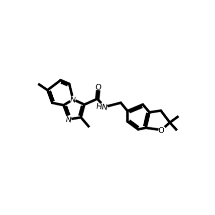 Cc1ccn2c(C(=O)NCc3ccc4c(c3)CC(C)(C)O4)c(C)nc2c1